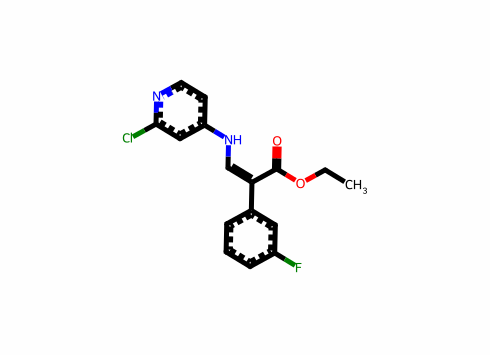 CCOC(=O)C(=CNc1ccnc(Cl)c1)c1cccc(F)c1